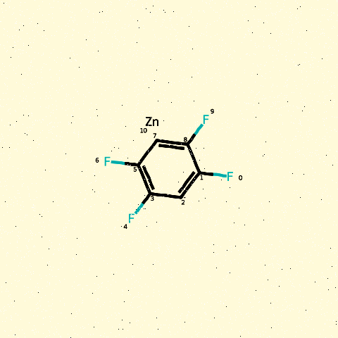 Fc1[c]c(F)c(F)cc1F.[Zn]